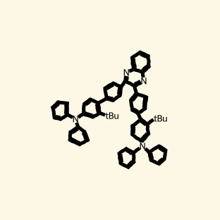 CC(C)(C)c1cc(N(c2ccccc2)c2ccccc2)ccc1-c1ccc(-c2nc3ccccc3nc2-c2ccc(-c3ccc(N(c4ccccc4)c4ccccc4)cc3C(C)(C)C)cc2)cc1